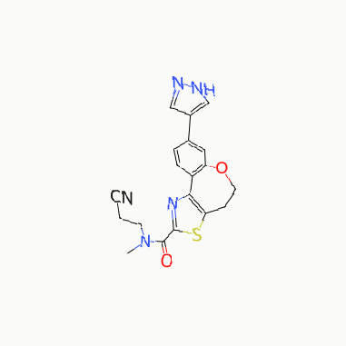 CN(CCC#N)C(=O)c1nc2c(s1)CCOc1cc(-c3cn[nH]c3)ccc1-2